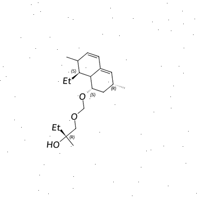 CC[C@H]1C(C)C=CC2=C[C@H](C)C[C@H](OCOC[C@](C)(O)CC)C21